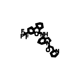 O=C(Nc1cccc2c1CCN2C(=O)Cc1ccccn1)c1ccccc1-c1ccc(C(F)(F)F)cc1